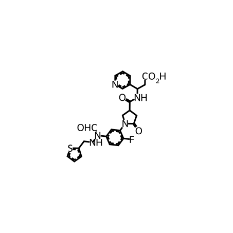 O=CN(NCc1cccs1)c1ccc(F)c(N2CC(C(=O)NC(CC(=O)O)c3cccnc3)CC2=O)c1